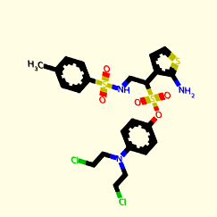 Cc1ccc(S(=O)(=O)NCC(c2ccsc2N)S(=O)(=O)Oc2ccc(N(CCCl)CCCl)cc2)cc1